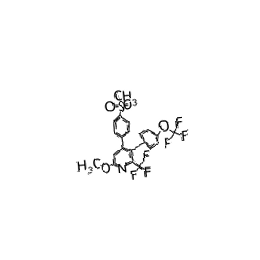 COc1cc(-c2ccc(S(C)(=O)=O)cc2)c(-c2ccc(OC(F)(F)F)cc2)c(C(F)(F)F)n1